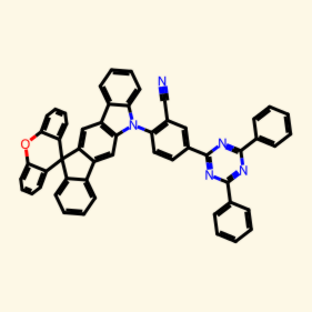 N#Cc1cc(-c2nc(-c3ccccc3)nc(-c3ccccc3)n2)ccc1-n1c2ccccc2c2cc3c(cc21)-c1ccccc1C31c2ccccc2Oc2ccccc21